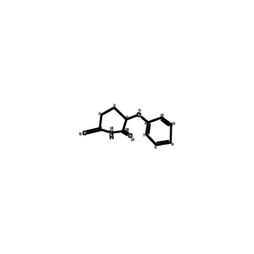 O=C1CCC(Oc2ccccc2)C(=O)N1